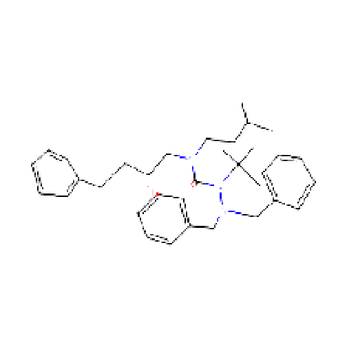 CC(C)CCN(C[C@H](O)CCc1ccccc1)C(=O)N(N(Cc1ccccc1)Cc1ccccc1)C(C)(C)C